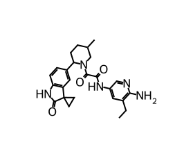 CCc1cc(NC(=O)C(=O)N2CC(C)CCC2c2ccc3c(c2)C2(CC2)C(=O)N3)cnc1N